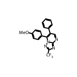 COc1ccc(-c2c(-c3ccccc3)cnc3nc(C(F)(F)F)nn23)cc1